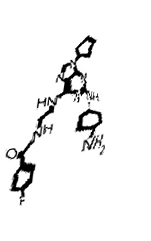 N[C@H]1CC[C@H](Nc2nc(NCCNC(=O)c3ccc(F)cc3)c3ncn(C4CCCC4)c3n2)CC1